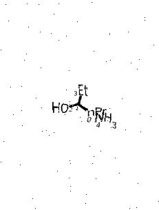 CCCC(O)CC.N